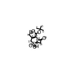 CC(C)(C)OC(=O)C1=C(CBr)CS(=O)(=O)[C@@H]2CC(=O)N12